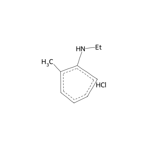 CCNc1ccccc1C.Cl